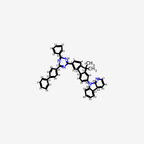 CC1(C)c2ccc(-c3nc(-c4ccccc4)nc(-c4ccc(-c5ccccc5)cc4)n3)cc2-c2ccc(-n3c4ccccc4c4cccnc43)cc21